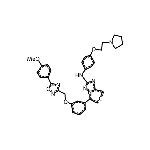 COc1ccc(-c2nc(COc3cccc(-c4cccc5nc(Nc6ccc(OCCN7CCCC7)cc6)nn45)c3)no2)cc1